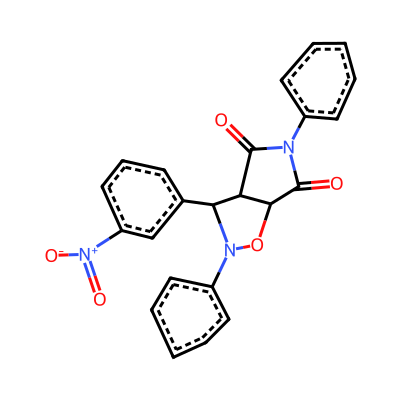 O=C1C2ON(c3ccccc3)C(c3cccc([N+](=O)[O-])c3)C2C(=O)N1c1ccccc1